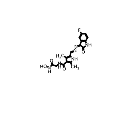 Cc1[nH]c(/C=N/N=C2\C(=O)Nc3ccc(F)cc32)c(C)c1C(=O)NCC(=O)NO